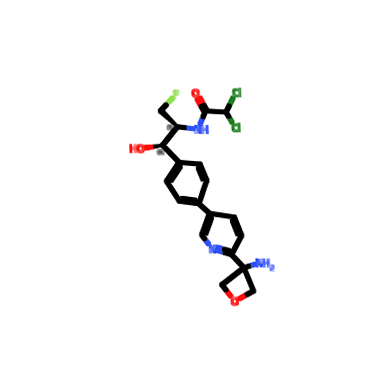 NC1(c2ccc(-c3ccc([C@@H](O)[C@@H](CF)NC(=O)C(Cl)Cl)cc3)cn2)COC1